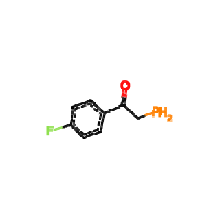 O=C(CP)c1ccc(F)cc1